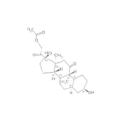 CC(=O)OCC(=O)[C@@]1(O)CC[C@H]2[C@@H]3CC[C@@H]4C[C@H](O)CC[C@]4(C)[C@H]3C(=O)C[C@@]21C